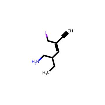 C#C/C(=C/C(CC)CN)CI